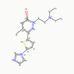 CCN(CC)CCn1nc(-c2ccc(-n3ccnc3)s2)c(C)cc1=O